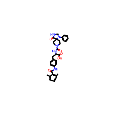 Cc1cccc(C)c1C(=O)Nc1ccc(CC(NC(=O)N2CCC3(CC2)C(=O)NCN3c2ccccc2)C(=O)O)cc1